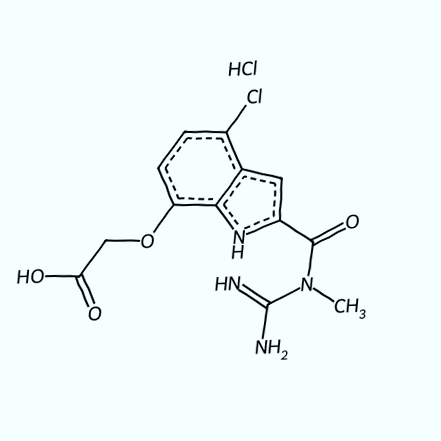 CN(C(=N)N)C(=O)c1cc2c(Cl)ccc(OCC(=O)O)c2[nH]1.Cl